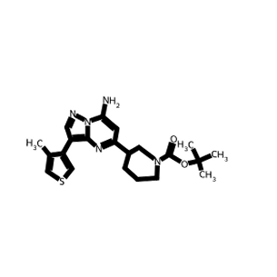 Cc1cscc1-c1cnn2c(N)cc(C3CCCN(C(=O)OC(C)(C)C)C3)nc12